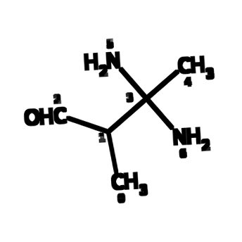 CC(C=O)C(C)(N)N